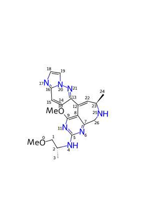 COC[C@@H](C)Nc1nc2c(c(OC)n1)C(c1ccc3nccn3n1)=C[C@@H](C)NC2